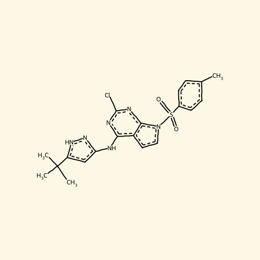 Cc1ccc(S(=O)(=O)n2ccc3c(Nc4cc(C(C)(C)C)[nH]n4)nc(Cl)nc32)cc1